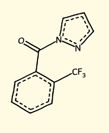 O=C(c1ccccc1C(F)(F)F)n1cccn1